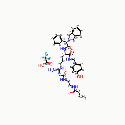 CCC(=O)NCCNC(=O)/N=C(/N)NCCC[C@@H](NC(=O)[C@H](c1ccccc1)N1Cc2ccccc2C1)C(=O)NCc1ccc(O)cc1.O=C(O)C(F)(F)F